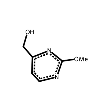 COc1nccc(CO)n1